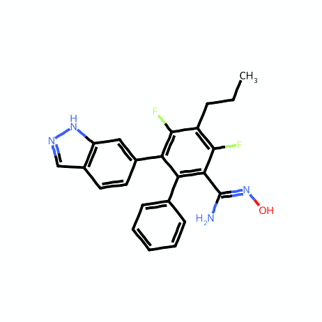 CCCc1c(F)c(C(N)=NO)c(-c2ccccc2)c(-c2ccc3cn[nH]c3c2)c1F